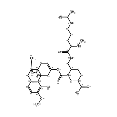 CNC(CCCNC(=N)N)C(=O)NCC1CCC(C(=O)O)CN1C(=O)OC1=CCC2C3Cc4ccc(OC)c(O)c4C2(CCN3C)C1